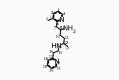 Cc1cccnc1CC(N)CCC(C)NCCc1ccccn1